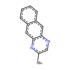 CC(C)(C)c1cnc2cc3ccccc3cc2n1